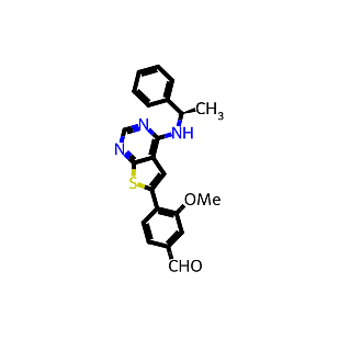 COc1cc(C=O)ccc1-c1cc2c(N[C@H](C)c3ccccc3)ncnc2s1